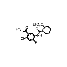 CCOC(=O)C1CCCCN1C(=O)Nc1cc(C(=O)OC(C)C)c(Cl)cc1F